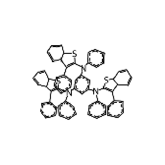 C1=CC2SC(N(c3ccccc3)c3cc(N(C4=C(c5ccccc5)C5C=CC=CC5S4)c4ccccc4)cc(N(C4=C(c5ccccc5)C5C=CC=CC5S4)c4ccccc4)c3)=C(c3ccccc3)C2C=C1